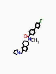 CN(C(=O)c1ccc(-c2ccc(F)cc2)cc1)[C@H]1CCc2cc(CN3CCCC3)ccc2C1